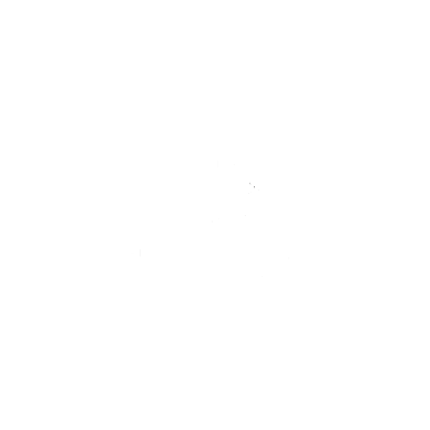 C=CC(C)(C#CC#CC(C)O)C[C@](C)(C(=O)NO)S(C)(=O)=O